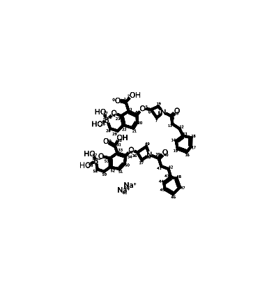 O=C(O)c1c(OC2CN(C(=O)CCc3ccccc3)C2)ccc2c1O[B-](O)(O)CC2.O=C(O)c1c(OC2CN(C(=O)CCc3ccccc3)C2)ccc2c1O[B-](O)(O)CC2.[Na+].[Na+]